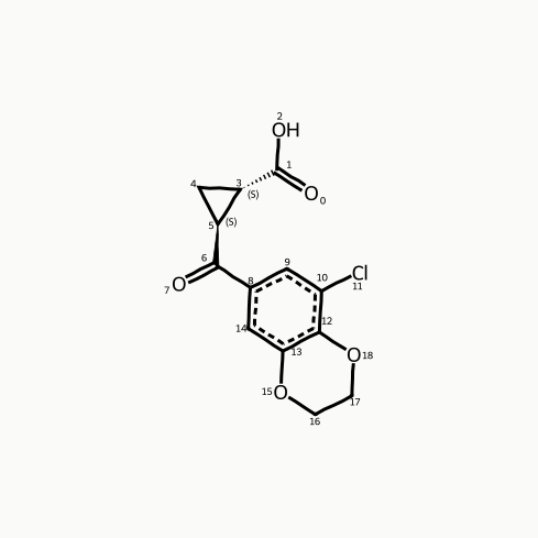 O=C(O)[C@H]1C[C@@H]1C(=O)c1cc(Cl)c2c(c1)OCCO2